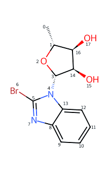 C[C@H]1O[C@@H](n2c(Br)nc3ccccc32)[C@H](O)[C@@H]1O